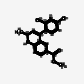 COC(=O)c1ccc2c(c1)C(c1ccc(Cl)nc1Cl)=CC(C)O2